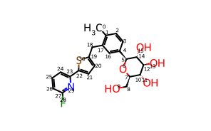 Cc1ccc([C@@H]2O[C@H](CO)[C@@H](O)[C@H](O)[C@H]2O)cc1Cc1ccc(-c2cccc(F)n2)s1